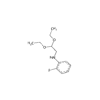 CCOC(CNc1ccccc1F)OCC